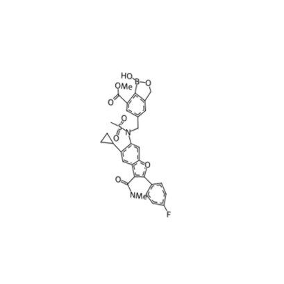 CNC(=O)c1c(-c2ccc(F)cc2)oc2cc(N(Cc3cc4c(c(C(=O)OC)c3)B(O)OC4)S(C)(=O)=O)c(C3CC3)cc12